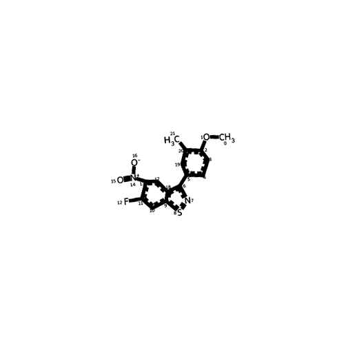 COc1ccc(-c2nsc3cc(F)c([N+](=O)[O-])cc23)cc1C